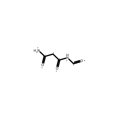 NC(=O)CC(=O)NC=O